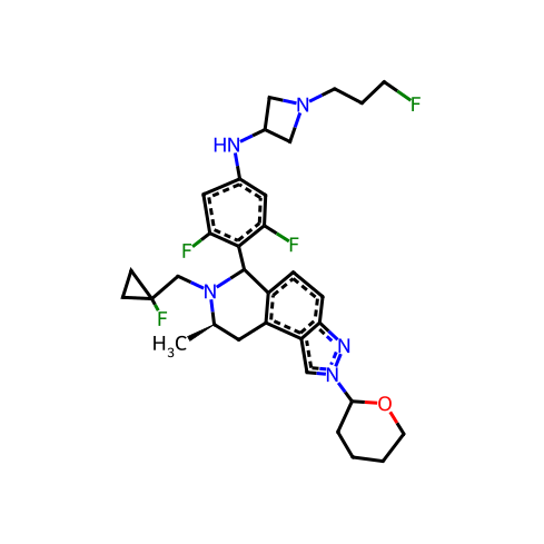 C[C@@H]1Cc2c(ccc3nn(C4CCCCO4)cc23)C(c2c(F)cc(NC3CN(CCCF)C3)cc2F)N1CC1(F)CC1